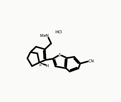 CNCC1=C(c2cc3ccc(C#N)cc3s2)[C@@H]2CCC(C1)C2.Cl